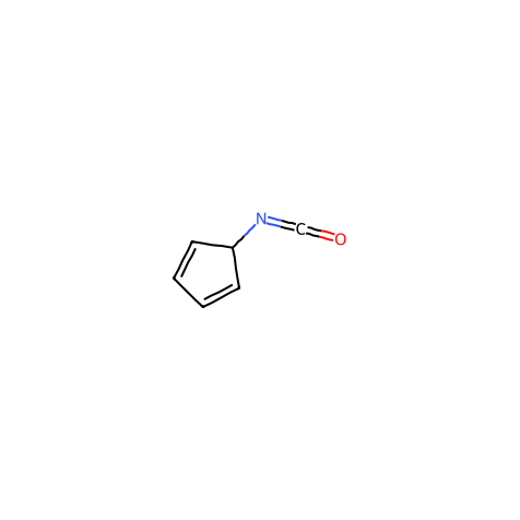 O=C=NC1C=CC=C1